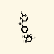 Ic1nccc(Nc2ccc([C@@H]3O[C@H]4CN[C@@H]3C4)cc2)n1